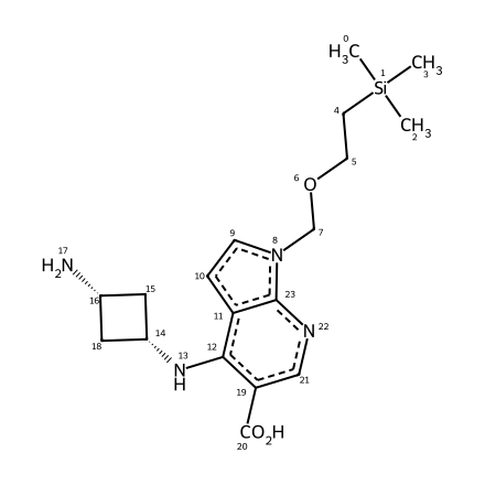 C[Si](C)(C)CCOCn1ccc2c(N[C@H]3C[C@@H](N)C3)c(C(=O)O)cnc21